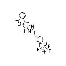 CC(=O)c1ccccc1-c1ccc2[nH]c(C=Cc3ccc(OC(C(F)(F)F)C(F)(F)F)cc3)nc2c1